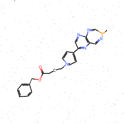 CP1C=Nc2ncc(-c3cc[n+](CCCC(=O)OCc4ccccc4)cc3)nc2C=N1